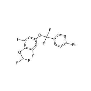 CCc1ccc(C(F)(F)Oc2cc(F)c(OC(F)F)c(F)c2)cc1